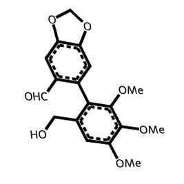 COc1cc(CO)c(-c2cc3c(cc2C=O)OCO3)c(OC)c1OC